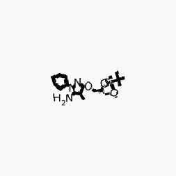 COC[C@H](COc1nn(-c2ccccc2)c(N)c1C)O[Si](C)(C)C(C)(C)C